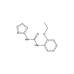 CCOc1ccccc1NC(=O)Nc1nccs1